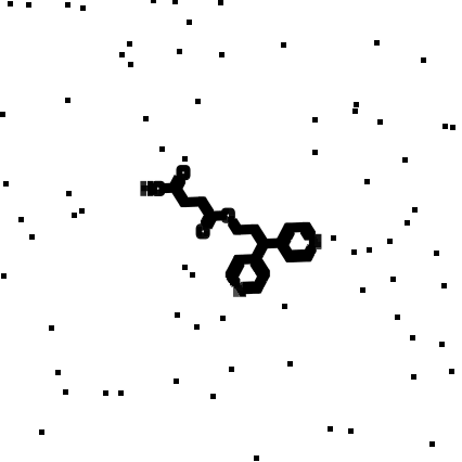 O=C(O)CCC(=O)OCCC(c1ccncc1)c1ccncc1